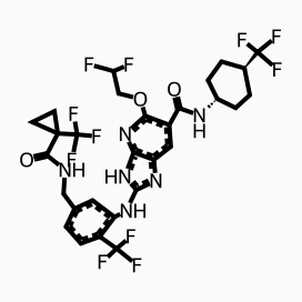 O=C(N[C@H]1CC[C@H](C(F)(F)F)CC1)c1cc2nc(Nc3cc(CNC(=O)C4(C(F)(F)F)CC4)ccc3C(F)(F)F)[nH]c2nc1OCC(F)F